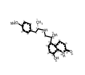 COc1ccc(C[C@H](C)NC[C@@H](O)c2ccc(O)c3[nH]c(=O)ccc23)cc1